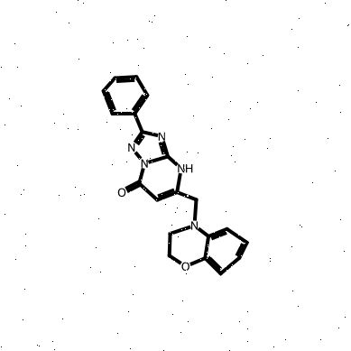 O=c1cc(CN2CCOc3ccccc32)[nH]c2nc(-c3ccccc3)nn12